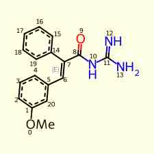 COc1cccc(/C=C(/C(=O)NC(=N)N)c2ccccc2)c1